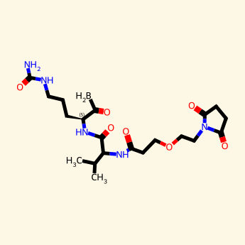 BC(=O)[C@H](CCCNC(N)=O)NC(=O)C(NC(=O)CCOCCN1C(=O)CCC1=O)C(C)C